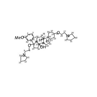 COc1cccc(C2(OCCN3CCCC3)CC[C@@]3(O)[C@@H]4CCC5CC(OCCN6CCCC6)CC[C@]5(C)[C@@H]4CC[C@]23C)c1